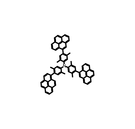 Cc1cc(N(c2cc(C)c(-c3cc4cccc5ccc6cccc3c6c54)cc2C)c2cc(C)c(-c3cc4cccc5ccc6cccc3c6c54)cc2C)c(C)cc1-c1ccc2ccc3cccc4ccc1c2c34